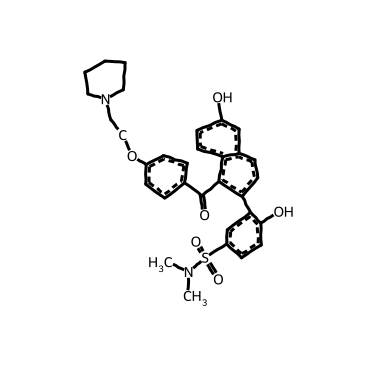 CN(C)S(=O)(=O)c1ccc(O)c(-c2ccc3cc(O)ccc3c2C(=O)c2ccc(OCCN3CCCCC3)cc2)c1